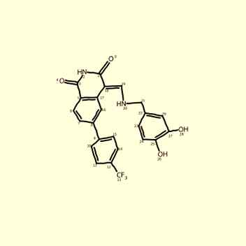 O=C1NC(=O)c2ccc(-c3ccc(C(F)(F)F)cc3)cc2C1=CNCc1ccc(O)c(O)c1